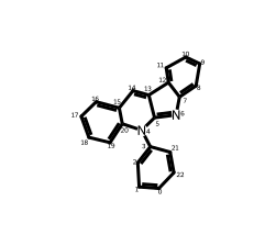 c1ccc(-n2c3nc4ccccc4c-3cc3ccccc32)cc1